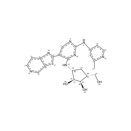 Cc1cc(Nc2ncc(-c3nc4ccncc4s3)c(N[C@@H]3C[C@H](CO)[C@@H](O)[C@H]3O)n2)ccn1